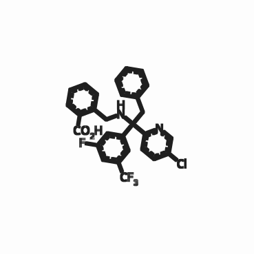 O=C(O)c1ccccc1CNC(Cc1ccccc1)(c1cc(F)cc(C(F)(F)F)c1)c1ccc(Cl)cn1